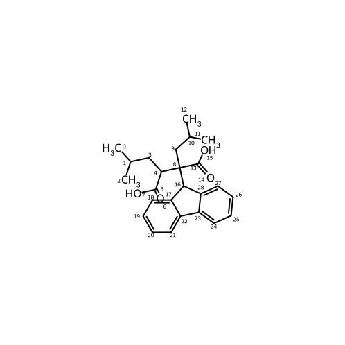 CC(C)CC(C(=O)O)C(CC(C)C)(C(=O)O)C1c2ccccc2-c2ccccc21